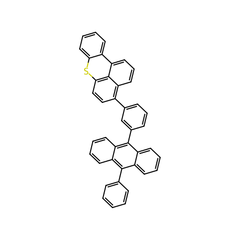 c1ccc(-c2c3ccccc3c(-c3cccc(-c4ccc5c6c(cccc46)-c4ccccc4S5)c3)c3ccccc23)cc1